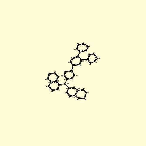 c1ccc(-c2ccc(-c3ccc(N(c4ccc5ccccc5c4)c4cccc5ccccc45)cc3)cc2-c2ccccc2)cc1